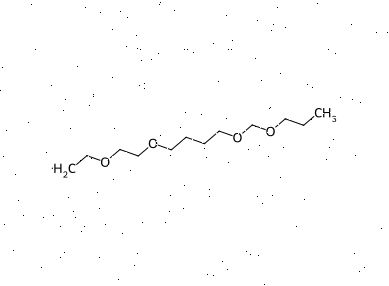 [CH2]COCCOCCCCOCOCCC